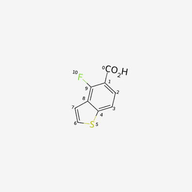 O=C(O)c1ccc2sccc2c1F